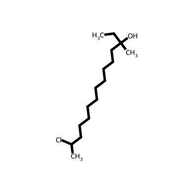 CCC(C)(O)CCCCCCCCCCC(C)Cl